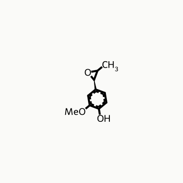 COc1cc([C@H]2OC2C)ccc1O